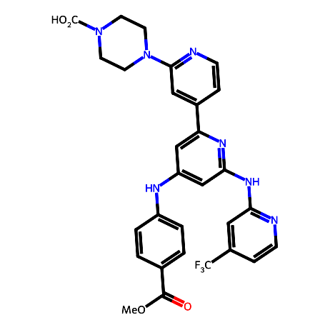 COC(=O)c1ccc(Nc2cc(Nc3cc(C(F)(F)F)ccn3)nc(-c3ccnc(N4CCN(C(=O)O)CC4)c3)c2)cc1